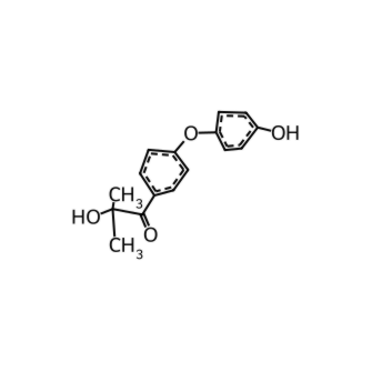 CC(C)(O)C(=O)c1ccc(Oc2ccc(O)cc2)cc1